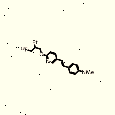 CCC(C[18F])COc1ccc(/C=C/c2ccc(NC)cc2)cn1